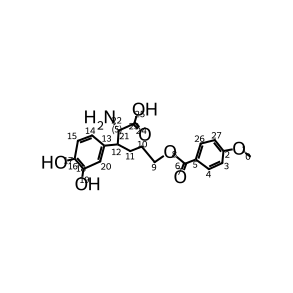 COc1ccc(C(=O)OCCCC(c2ccc(O)c(O)c2)[C@H](N)C(=O)O)cc1